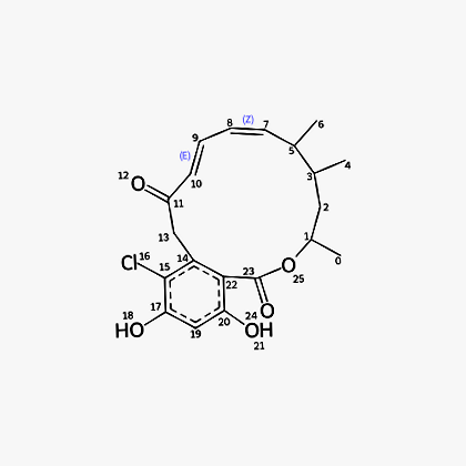 CC1CC(C)C(C)/C=C\C=C\C(=O)Cc2c(Cl)c(O)cc(O)c2C(=O)O1